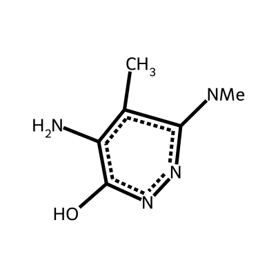 CNc1nnc(O)c(N)c1C